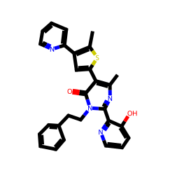 Cc1nc(-c2ncccc2O)n(CCc2ccccc2)c(=O)c1-c1cc(-c2ccccn2)c(C)s1